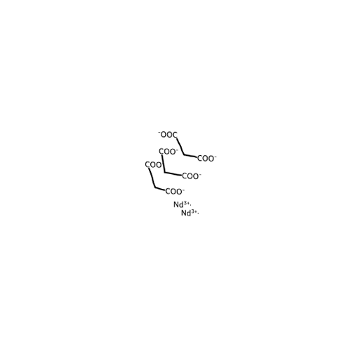 O=C([O-])CC(=O)[O-].O=C([O-])CC(=O)[O-].O=C([O-])CC(=O)[O-].[Nd+3].[Nd+3]